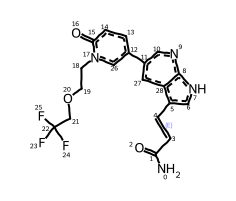 NC(=O)/C=C/c1c[nH]c2ncc(-c3ccc(=O)n(CCOCC(F)(F)F)c3)cc12